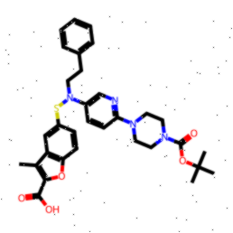 Cc1c(C(=O)O)oc2ccc(SN(CCc3ccccc3)c3ccc(N4CCN(C(=O)OC(C)(C)C)CC4)nc3)cc12